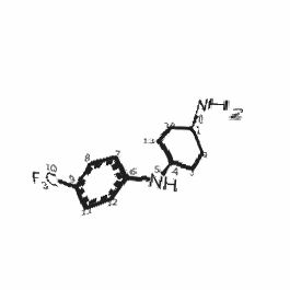 N[C@H]1CC[C@@H](Nc2ccc(C(F)(F)F)cc2)CC1